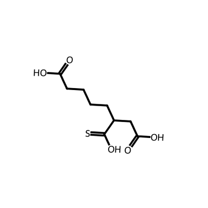 O=C(O)CCCCC(CC(=O)O)C(O)=S